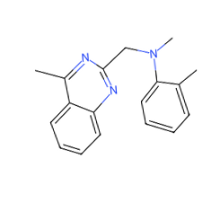 Cc1ccccc1N(C)Cc1nc(C)c2ccccc2n1